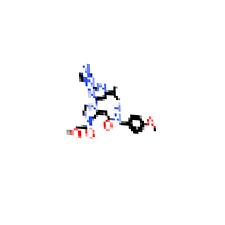 COCC(=O)N1CCN(c2cc(C(C)C)nc(-n3ccnc3)n2)C(CC(=O)NCc2ccc(OC)cc2)C1